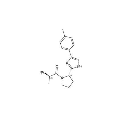 Cc1ccc(-c2c[nH]c([C@@H]3CCCN3C(=O)[C@@H](C)C(C)C)n2)cc1